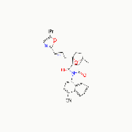 CC(C)c1cnc(/C=C/CC23CCC(C)(O2)C2C(=O)N(c4ccc(C#N)c5ccccc45)C(=O)C23)o1